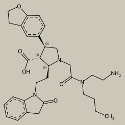 CCCCN(CCN)C(=O)CN1C[C@H](c2ccc3c(c2)CCO3)[C@@H](C(=O)O)[C@@H]1CCN1C(=O)Cc2ccccc21